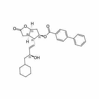 O=C1C[C@@H]2[C@@H](C=C[C@@H](O)CC3CCCCC3)[C@H](OC(=O)c3ccc(-c4ccccc4)cc3)C[C@@H]2O1